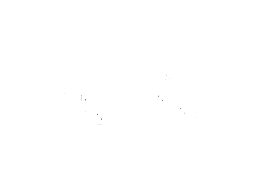 CCCn1c(=O)[nH]c2ccc(C(=O)c3nc(N)c4ccccn34)cc2c1=O